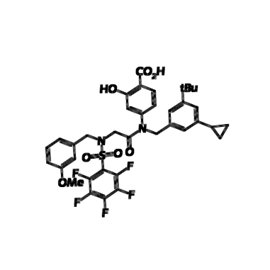 COc1cccc(CN(CC(=O)N(Cc2cc(C3CC3)cc(C(C)(C)C)c2)c2ccc(C(=O)O)c(O)c2)S(=O)(=O)c2c(F)c(F)c(F)c(F)c2F)c1